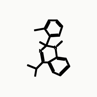 Cc1ccccc1C1(C)N=C(C(C)C)c2ccccc2N1C